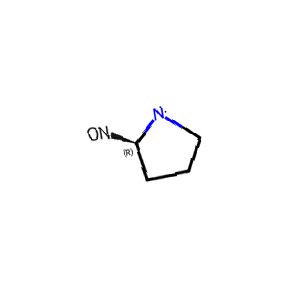 O=N[C@@H]1CCC[N]1